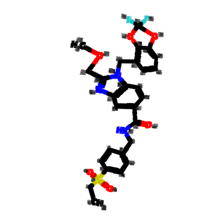 CCS(=O)(=O)c1ccc(CNC(=O)c2ccc3c(c2)nc(COC)n3Cc2cccc3c2OC(F)(F)O3)cc1